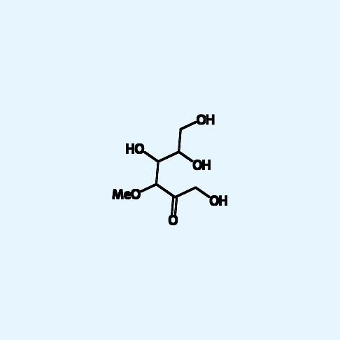 COC(C(=O)CO)C(O)C(O)CO